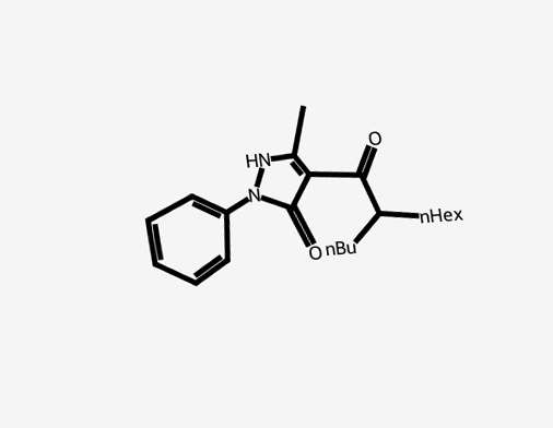 CCCCCCC(CCCC)C(=O)c1c(C)[nH]n(-c2ccccc2)c1=O